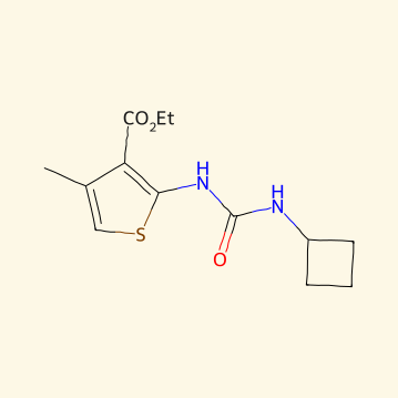 CCOC(=O)c1c(C)csc1NC(=O)NC1CCC1